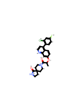 CC(Oc1ccc2c(-c3ccc(F)cc3Cl)ccnc2c1)C(=O)N1CCC2(CCNC2=O)CC1